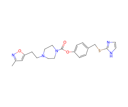 Cc1cc(CCN2CCN(C(=O)Oc3ccc(CSc4ncc[nH]4)cc3)CC2)on1